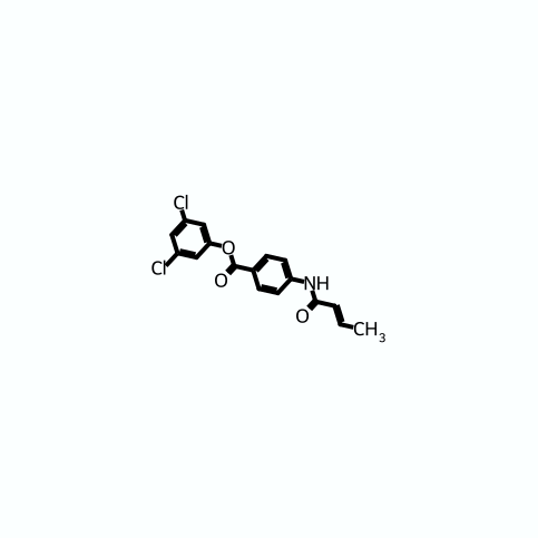 CC=CC(=O)Nc1ccc(C(=O)Oc2cc(Cl)cc(Cl)c2)cc1